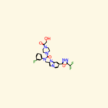 O=C(CO)N1CCN(C(=O)N(Cc2cn3ccc(-c4nnc(C(F)F)o4)cc3n2)c2cccc(F)c2)CC1